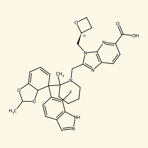 CC1OC2=CC=CC(c3ccc4cn[nH]c4c3F)(C3(C)CCCCN3Cc3nc4ccc(C(=O)O)nc4n3C[C@@H]3CCO3)C2O1